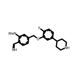 CNc1cc(COc2cc(C3CCNCC3)ccc2F)ccc1C=N